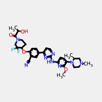 COc1nc(Nc2nccc(-c3ccc(OC4CCN(C(=O)C(C)O)CC4(F)F)c(C#N)c3)n2)ccc1N1CCN(C)C[C@@H]1C